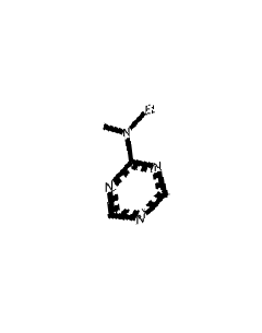 CCN(C)c1n[c]ncn1